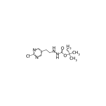 CC(C)(C)OC(=O)NNCCc1cnc(Cl)nc1